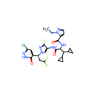 CCn1nccc1C(=O)N[C@H](C(=O)Nc1cn([C@@H](CC(F)F)c2cc(Cl)n[nH]c2=O)nc1F)C(C1CC1)C1CC1